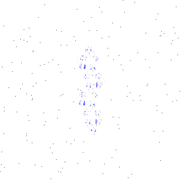 c1cc2c3c4[nH]c(cc4cc2[nH]1)Cc1cc2c4c5[nH]c(cc5c(c2[nH]1)-c1ccc2ccc5ccc-3nc5c2n1)Cc1cc2c3c5[nH]c(cc5c(c2[nH]1)-c1ccc2ccc5ccc-4nc5c2n1)Cc1cc2c4c5[nH]c(cc5c(c2[nH]1)-c1ccc2ccc5ccc-3nc5c2n1)Cc1cc2cc3[nH]ccc3c(c2[nH]1)-c1ccc2ccc3ccc-4nc3c2n1